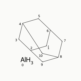 [AlH3].[CH]1C2CC3CC1CC(C2)C3